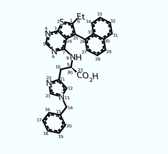 CCc1sc2ncnc(N[C@H](Cc3cn(Cc4ccccc4)cn3)C(=O)O)c2c1-c1cccc2ccccc12